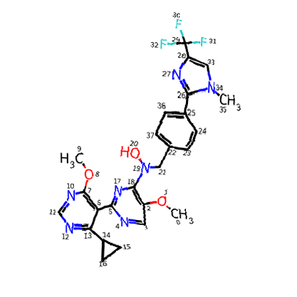 COc1cnc(-c2c(OC)ncnc2C2CC2)nc1N(O)Cc1ccc(-c2nc(C(F)(F)F)cn2C)cc1